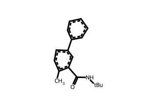 Cc1ccc(-c2ccccc2)cc1C(=O)NC(C)(C)C